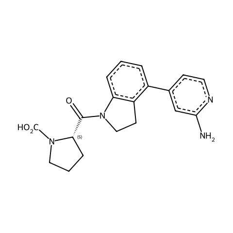 Nc1cc(-c2cccc3c2CCN3C(=O)[C@@H]2CCCN2C(=O)O)ccn1